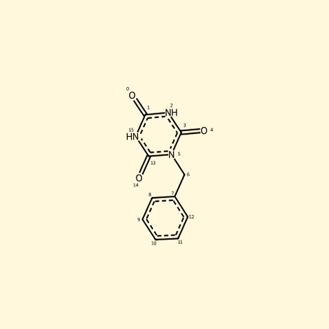 O=c1[nH]c(=O)n(Cc2ccccc2)c(=O)[nH]1